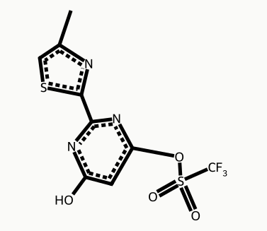 Cc1csc(-c2nc(O)cc(OS(=O)(=O)C(F)(F)F)n2)n1